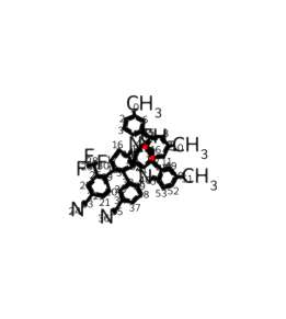 Cc1ccc2c(c1)c1cc(C)ccc1n2-c1ccc(-c2ccc(C#N)cc2C(F)(F)F)c(-c2cc(C#N)ccc2-n2c3ccc(C)cc3c3cc(C)ccc32)c1